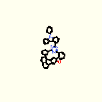 c1ccc(-c2nc(-c3cccc4oc5cc6c(cc5c34)-c3cccc4cccc-6c34)nc(-c3cccc4c3c3ccccc3n4-c3ccccc3)n2)cc1